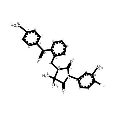 CC1(C)C(=O)N(c2ccc(F)c(C(F)(F)F)c2)C(=O)N1Cc1ccccc1C(=O)c1ccc(C(=O)O)cc1